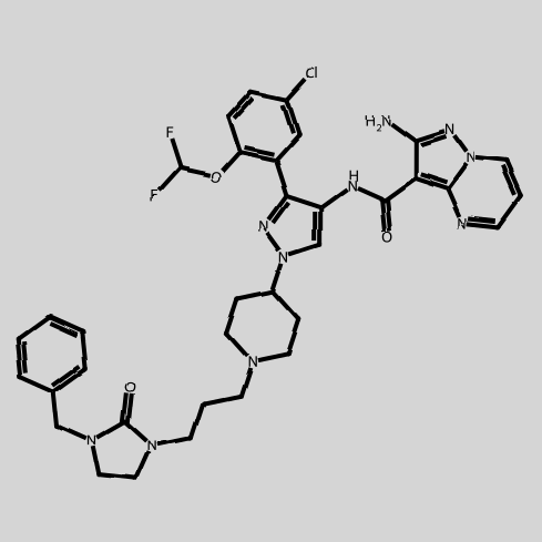 Nc1nn2cccnc2c1C(=O)Nc1cn(C2CCN(CCCN3CCN(Cc4ccccc4)C3=O)CC2)nc1-c1cc(Cl)ccc1OC(F)F